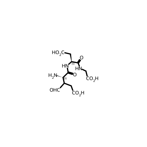 N[C@H](C(=O)N[C@@H](CC(=O)O)C(=O)NCC(=O)O)C(C=O)CC(=O)O